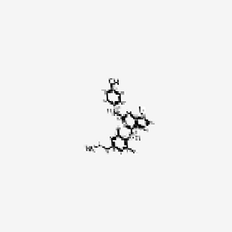 Cc1cc(CCC#N)cc(C)c1Nc1nc(Nc2ccc(C#N)cc2)nc2[nH]cnc12